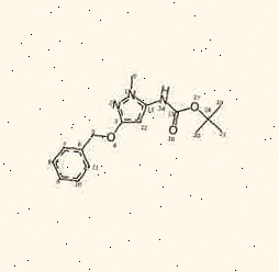 Cn1nc(OCc2ccccc2)cc1NC(=O)OC(C)(C)C